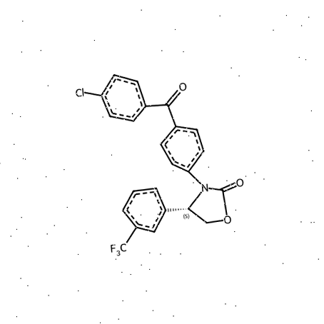 O=C(c1ccc(Cl)cc1)c1ccc(N2C(=O)OC[C@@H]2c2cccc(C(F)(F)F)c2)cc1